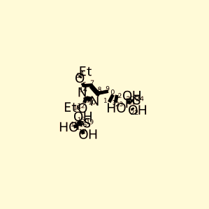 CC.CC.CCOc1cc(C)nc(OCC)n1.OP(O)(O)=S.OP(O)(O)=S